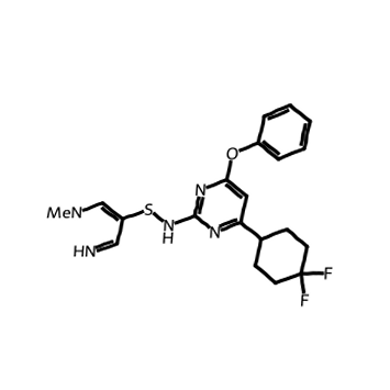 CN/C=C(\C=N)SNc1nc(Oc2ccccc2)cc(C2CCC(F)(F)CC2)n1